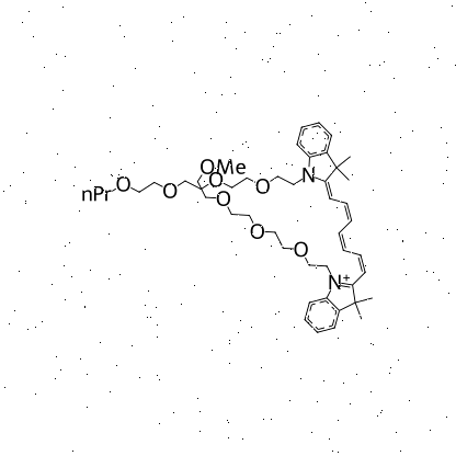 CCCOCCOCCOCCOCCN1/C(=C/C=C\C=C/C=C\C2=[N+](CCOCCOCCOCCOC)c3ccccc3C2(C)C)C(C)(C)c2ccccc21